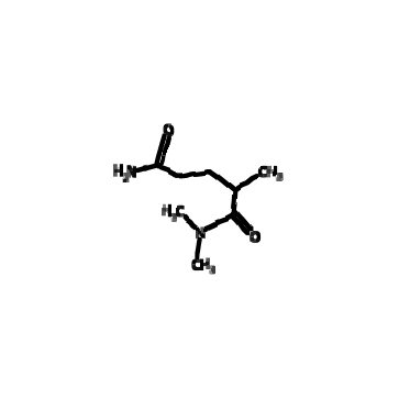 CC(CCC(N)=O)C(=O)N(C)C